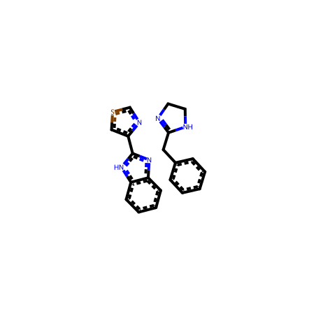 c1ccc(CC2=NCCN2)cc1.c1ccc2[nH]c(-c3cscn3)nc2c1